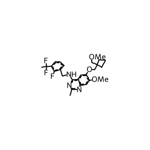 COCC1(COc2cc3c(NCc4cccc(C(C)(F)F)c4F)nc(C)nc3cc2OC)CCC1